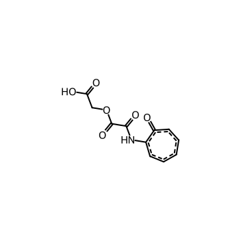 O=C(O)COC(=O)C(=O)Nc1cccccc1=O